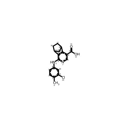 Cc1ccc(Nc2ncc(C(=O)O)c3c2C2CCC3C2)cc1Cl